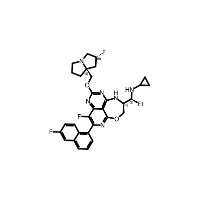 CC[C@H](NC1CC1)[C@H]1COc2nc(-c3cccc4cc(F)ccc34)c(F)c3nc(OC[C@@]45CCCN4C[C@H](F)C5)nc(c23)N1